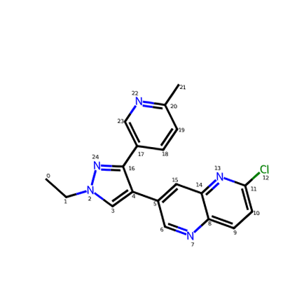 CCn1cc(-c2cnc3ccc(Cl)nc3c2)c(-c2ccc(C)nc2)n1